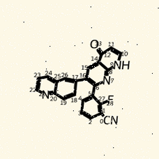 N#Cc1cccc(-c2nc3[nH]ccc(=O)c3cc2-c2ccc3ncccc3c2)c1F